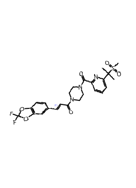 CC(C)(c1cccc(C(=O)N2CCN(C(=O)/C=C/c3ccc4c(c3)OC(F)(F)O4)CC2)n1)S(C)(=O)=O